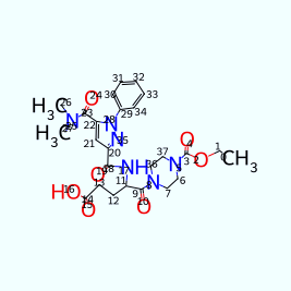 CCOC(=O)N1CCN(C(=O)C(CCC(=O)O)NC(=O)c2cc(C(=O)N(C)C)n(-c3ccccc3)n2)CC1